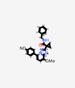 COc1ccc(-c2ccc(C#N)cc2)n2nc(C3(C(=O)NCc4ccccc4)CC3)nc12